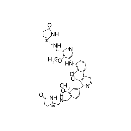 COc1cc(-c2nccc(-c3cccc(Nc4cncc(CNC[C@@H]5CCC(=O)N5)c4OC)c3Cl)c2Cl)ccc1CNC[C@H]1CCC(=O)N1